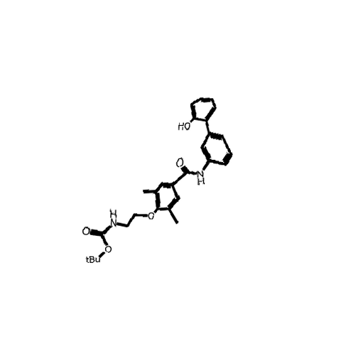 Cc1cc(C(=O)Nc2cccc(-c3ccccc3O)c2)cc(C)c1OCCNC(=O)OC(C)(C)C